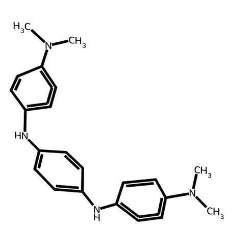 CN(C)C1=C=C=C(Nc2ccc(NC3=C=C=C(N(C)C)C=C3)cc2)C=C1